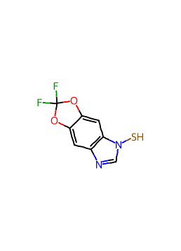 FC1(F)Oc2cc3ncn(S)c3cc2O1